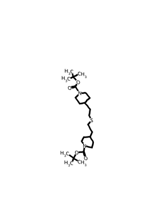 CC(C)(C)OC(=O)N1CCC(CCSCCC2CCN(C(=O)OC(C)(C)C)CC2)CC1